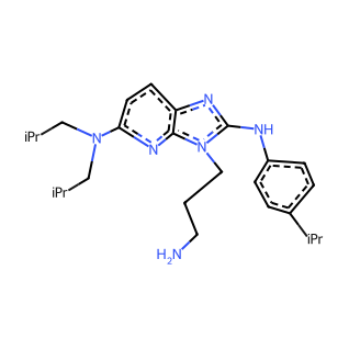 CC(C)CN(CC(C)C)c1ccc2nc(Nc3ccc(C(C)C)cc3)n(CCCN)c2n1